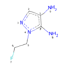 Nc1cnn(CCF)c1N